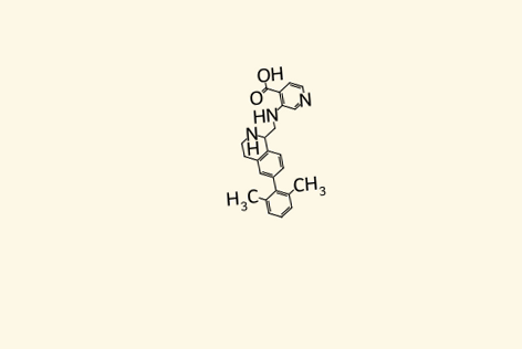 Cc1cccc(C)c1-c1ccc2c(c1)CCNC2CNc1cnccc1C(=O)O